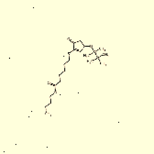 CCCCOC(=O)CCCCCSC1=C[C@H](O[Si](C)(C)C(C)(C)C)CC1=O